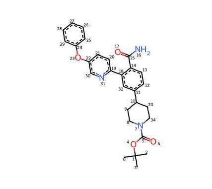 CC(C)(C)OC(=O)N1CCC(c2ccc(C(N)=O)c(-c3ccc(Oc4ccccc4)cn3)c2)CC1